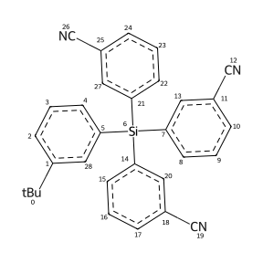 CC(C)(C)c1cccc([Si](c2cccc(C#N)c2)(c2cccc(C#N)c2)c2cccc(C#N)c2)c1